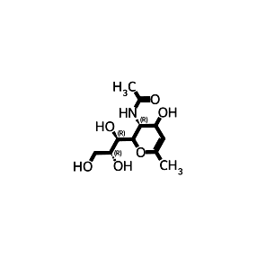 CC(=O)N[C@@H]1C(O)C=C(C)OC1[C@H](O)[C@H](O)CO